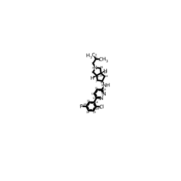 CC(C)CN1C[C@H]2C[C@H](Nc3ccc(-c4cc(F)ccc4Cl)nn3)C[C@H]2C1